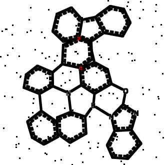 c1ccc(-c2cccc(-c3ccccc3)c2N2c3ccccc3B3c4c(cc(-n5c6ccccc6c6ccccc65)cc42)Oc2nc4ccccc4n23)cc1